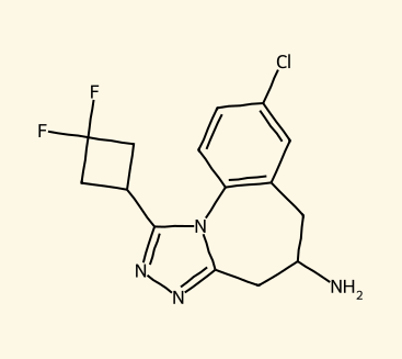 NC1Cc2cc(Cl)ccc2-n2c(nnc2C2CC(F)(F)C2)C1